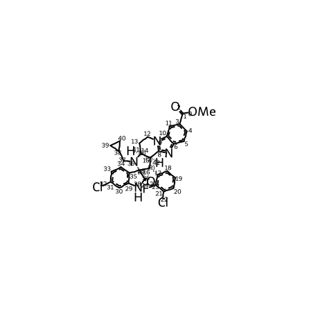 COC(=O)c1ccc2nc3n(c2c1)CC[C@H]1[C@@H]3[C@H](c2cccc(Cl)c2F)[C@]2(C(=O)Nc3cc(Cl)ccc32)N1CC1CC1